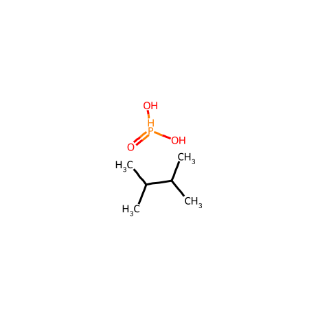 CC(C)C(C)C.O=[PH](O)O